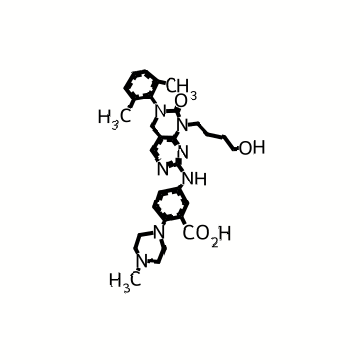 Cc1cccc(C)c1N1Cc2cnc(Nc3ccc(N4CCN(C)CC4)c(C(=O)O)c3)nc2N(CCCCO)C1=O